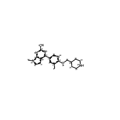 Cc1cc(-c2nc(C#N)nc3c2ccn3C)cnc1OCC1CCNCC1